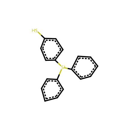 Sc1ccc([S+](c2ccccc2)c2ccccc2)cc1